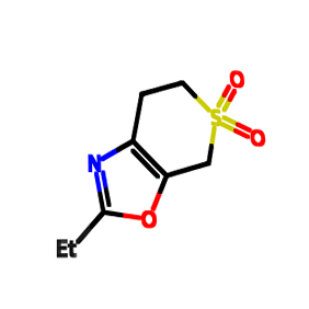 CCc1nc2c(o1)CS(=O)(=O)CC2